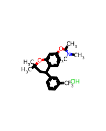 CC(Oc1ccc2c(c1)OC(C)(C)CC2c1cccc(C(F)(F)F)c1)N(C)C.Cl